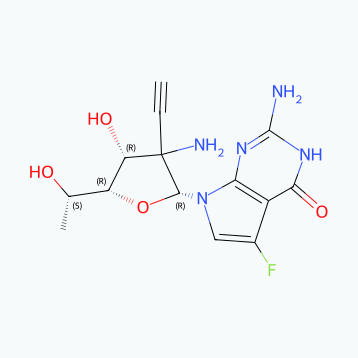 C#CC1(N)[C@@H](O)[C@@H]([C@H](C)O)O[C@H]1n1cc(F)c2c(=O)[nH]c(N)nc21